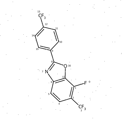 Fc1c(C(F)(F)F)ccc2nc(-c3ccc(C(F)(F)F)cc3)oc12